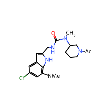 CNc1cc(Cl)cc2cc(CNC(=O)N(C)[C@@H]3CCCN(C(C)=O)C3)[nH]c12